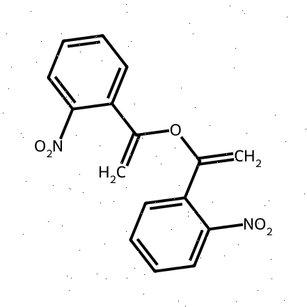 C=C(OC(=C)c1ccccc1[N+](=O)[O-])c1ccccc1[N+](=O)[O-]